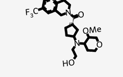 COC1COCCC1N(CCO)C1CC[C@H](C(=O)N2CCc3ncc(C(F)(F)F)cc3C2)C1